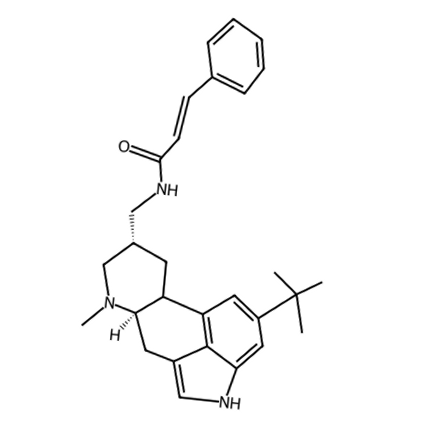 CN1C[C@H](CNC(=O)C=Cc2ccccc2)CC2c3cc(C(C)(C)C)cc4[nH]cc(c34)C[C@H]21